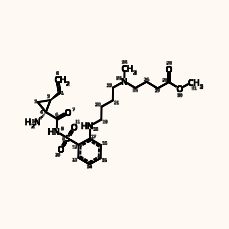 C=C[C@@H]1C[C@]1(N)C(=O)NS(=O)(=O)c1ccccc1NCCCCN(C)CCCC(=O)OC